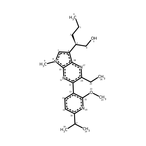 CCC[C@@H](CO)c1cn(C)c2nc(-c3ccc(C(C)C)nc3OC)c(CC)nc12